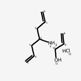 C=CCC(N)CC=C.C=CCO.Cl